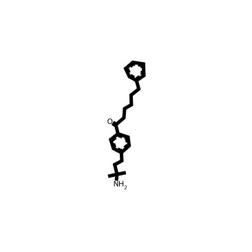 CC(C)(N)CCc1ccc(C(=O)CCCCCc2ccccc2)cc1